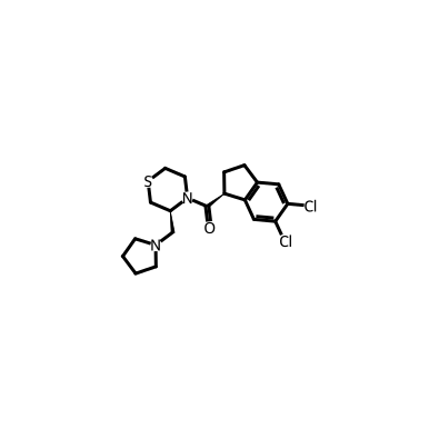 O=C([C@H]1CCc2cc(Cl)c(Cl)cc21)N1CCSC[C@@H]1CN1CCCC1